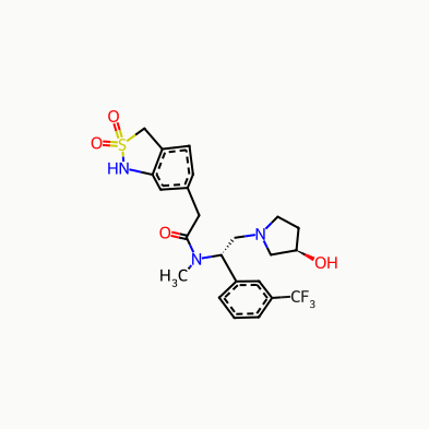 CN(C(=O)Cc1ccc2c(c1)NS(=O)(=O)C2)[C@H](CN1CC[C@@H](O)C1)c1cccc(C(F)(F)F)c1